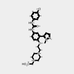 Cn1nccc1-c1cc(NC(=O)Nc2ccc(Cl)cc2)ccc1OCCN1CCN(CC(=O)O)CC1